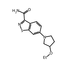 CCOC1CCN(c2ccc3c(C(N)=O)nsc3c2)C1